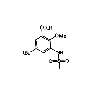 COc1c(NS(C)(=O)=O)cc(C(C)(C)C)cc1C(=O)O